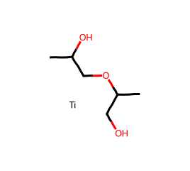 CC(O)COC(C)CO.[Ti]